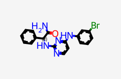 NC(=O)[C@H](Nc1nccc(Nc2cccc(Br)c2)n1)c1ccccc1